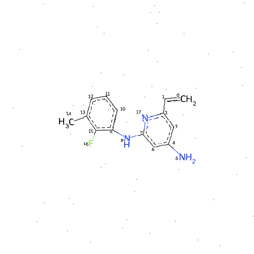 C=Cc1cc(N)cc(Nc2cccc(C)c2F)n1